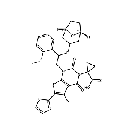 COc1ccccc1C(Cn1c(=O)n(C2(C(=O)O)CC2)c(=O)c2c(C)c(-c3ncco3)sc21)OC1C[C@H]2CC[C@@H](C1)O2